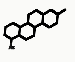 CC(=O)C1CCCC2C1CCC1C3CCC(C)CC3CCC12